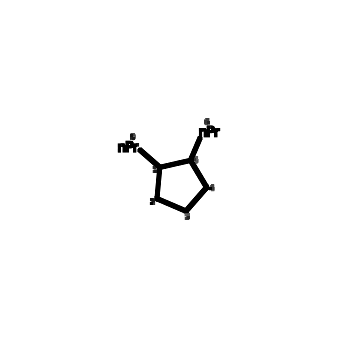 CCC[C]1CCCC1CCC